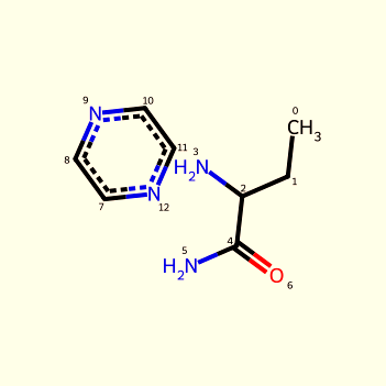 CCC(N)C(N)=O.c1cnccn1